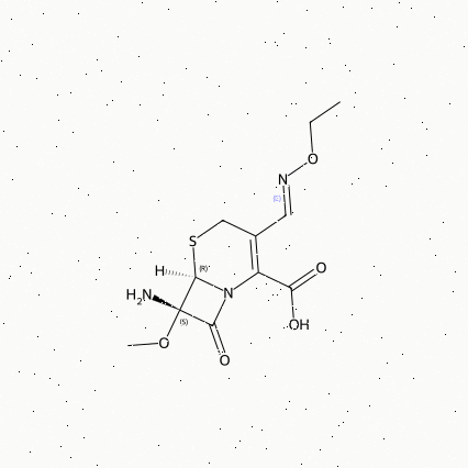 CCO/N=C/C1=C(C(=O)O)N2C(=O)[C@](N)(OC)[C@H]2SC1